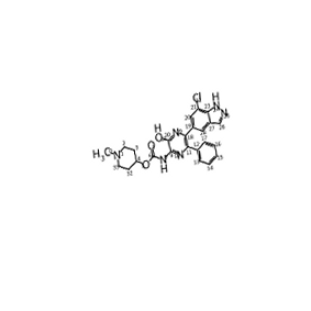 CN1CCC(OC(=O)Nc2nc(-c3ccccc3)c(-c3cc(Cl)c4[nH]ncc4c3)nc2O)CC1